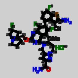 COc1c(F)c(-c2ccc(F)c3sc(N)c(C#N)c23)c(F)c2nc(OC[C@@]34CCCN3C[C@H](F)C4)nc(N3CCCn4nc(C(N)=O)cc4C3)c12.Cl